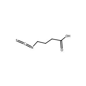 O=C(O)CCCN=C=S